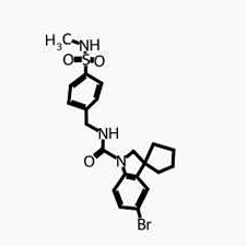 CNS(=O)(=O)c1ccc(CNC(=O)N2CC3(CCCC3)c3cc(Br)ccc32)cc1